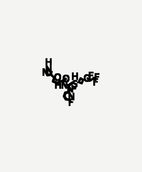 O=C(NC1=C[SH]([C@H]2C[C@@H](OCC(F)(F)F)C2)CN1c1cccc(F)n1)c1ccc(-c2cn[nH]c2)o1